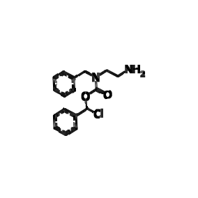 NCCN(Cc1ccccc1)C(=O)OC(Cl)c1ccccc1